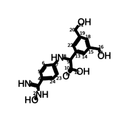 N=C(NO)c1ccc(NC(C(=O)O)c2cc(CO)cc(CO)c2)cc1